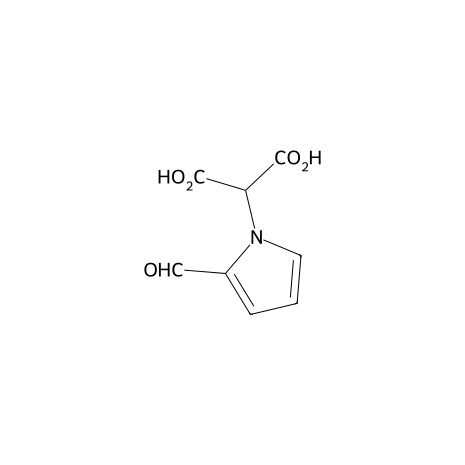 O=Cc1cccn1C(C(=O)O)C(=O)O